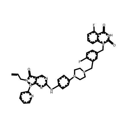 C=CCn1c(=O)c2cnc(Nc3ccc(N4CCN(Cc5cc(Cn6c(=O)[nH]c(=O)c7c(F)cccc76)ccc5F)CC4)cc3)nc2n1-c1ccccn1